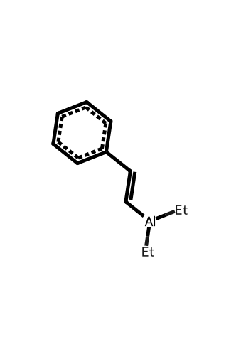 C[CH2][Al]([CH]=Cc1ccccc1)[CH2]C